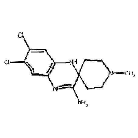 CN1CCC2(CC1)Nc1cc(Cl)c(Cl)cc1N=C2N